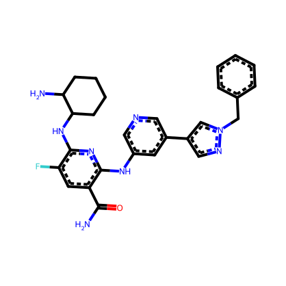 NC(=O)c1cc(F)c(NC2CCCCC2N)nc1Nc1cncc(-c2cnn(Cc3ccccc3)c2)c1